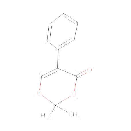 CC1(C)OC=C(c2ccccc2)C(=O)O1